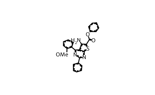 COc1ccccc1-c1nc(-c2ccccc2)nc2sc(C(=O)Oc3ccccc3)c(N)c12